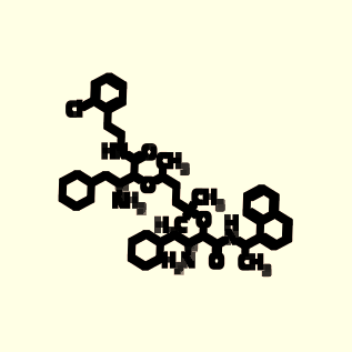 CC(CCC(C)(C)OC(C(=O)NC(C)c1cccc2ccccc12)[C@H](N)CC1CCCCC1)OC(C(=O)NCCc1ccccc1Cl)[C@H](N)CC1CCCCC1